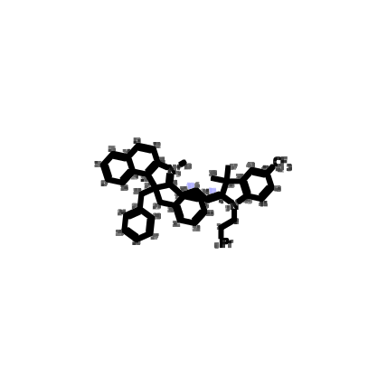 CC(C)CCN1/C(=C/C=C/C2=[N+](C)c3ccc4ccccc4c3C2(Cc2ccccc2)Cc2ccccc2)C(C)(C)c2cc(C(F)(F)F)ccc21